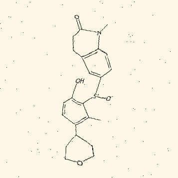 Cc1c(C2CCOCC2)ccc(O)c1[S+]([O-])c1ccc2c(c1)CCC(=O)N2C